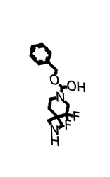 OC(OCc1ccccc1)N1CCC2(CNC2)C(F)(F)C1